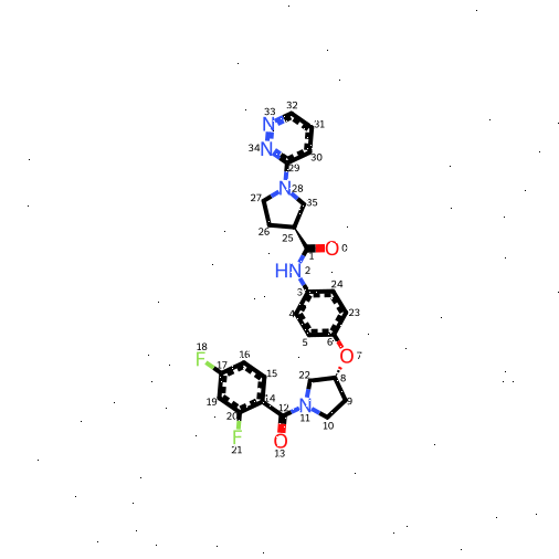 O=C(Nc1ccc(O[C@@H]2CCN(C(=O)c3ccc(F)cc3F)C2)cc1)[C@H]1CCN(c2cccnn2)C1